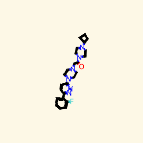 O=C(CN1CCN(c2ccc(-c3ccccc3F)nn2)CC1)N1CCN(C2CCC2)CC1